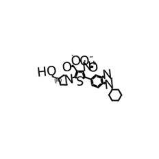 COC(=O)c1c(N2CC[C@@H](CO)C2)sc(-c2ccc3c(c2)ncn3C2CCCCC2)c1[N+](=O)[O-]